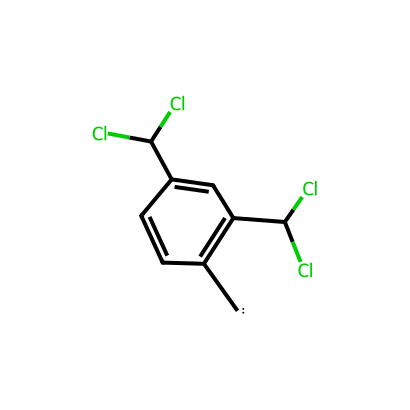 [CH]c1ccc(C(Cl)Cl)cc1C(Cl)Cl